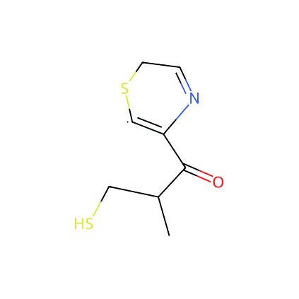 CC(CS)C(=O)C1=[C]SCC=N1